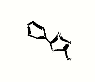 CC(C)c1nnc(-c2ccncc2)s1